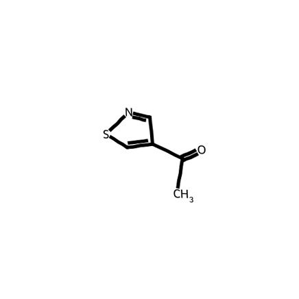 CC(=O)c1cnsc1